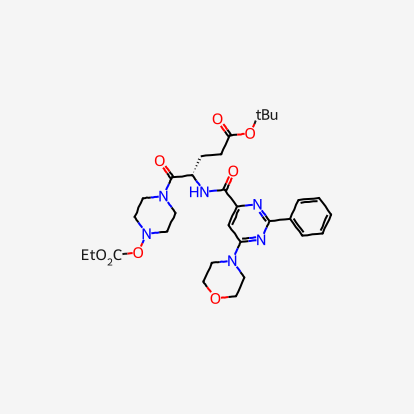 CCOC(=O)ON1CCN(C(=O)[C@H](CCC(=O)OC(C)(C)C)NC(=O)c2cc(N3CCOCC3)nc(-c3ccccc3)n2)CC1